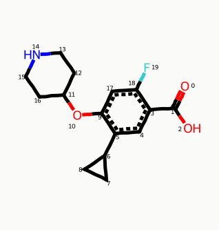 O=C(O)c1cc(C2CC2)c(OC2CCNCC2)cc1F